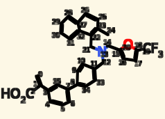 C=C(C(=O)O)c1cccc(-c2ccc(CN(Cc3ccc(C(F)(F)F)o3)Cc3c(C)ccc4ccccc34)cc2)c1